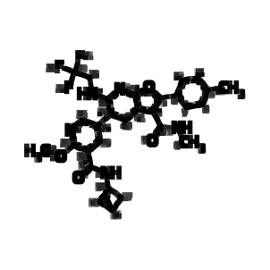 CNC(=O)c1c(-c2ccc(C)cc2)oc2nc(NCC(F)(F)F)c(-c3cnc(OC)c(C(=O)NC45CC(C4)C5)c3)cc12